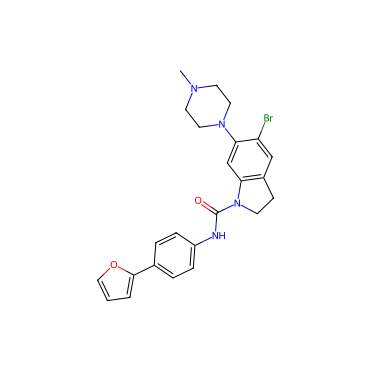 CN1CCN(c2cc3c(cc2Br)CCN3C(=O)Nc2ccc(-c3ccco3)cc2)CC1